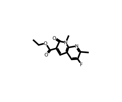 CCOC(=O)c1cc2cc(F)c(C)nc2n(C)c1=O